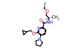 C[C@@H](COCF)NC(=O)c1ccc(N2CCCC2)c(OCC2CC2)n1